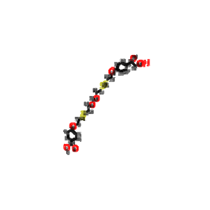 COC(=O)c1ccc(OCCSSCCOCOCCSSCCOc2ccc(C(=O)CO)cc2)cc1